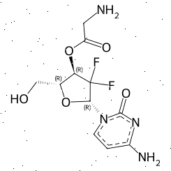 NCC(=O)O[C@@H]1[C@@H](CO)O[C@@H](n2ccc(N)nc2=O)C1(F)F